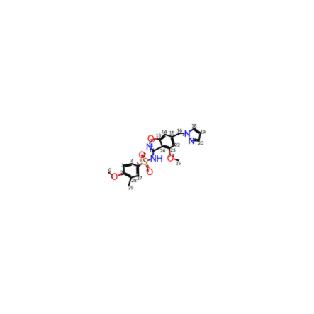 COc1ccc(S(=O)(=O)Nc2noc3cc(Cn4cccn4)cc(OC)c23)cc1C